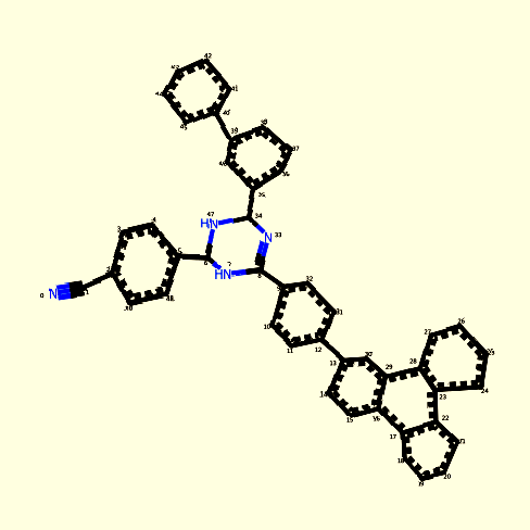 N#Cc1ccc(C2NC(c3ccc(-c4ccc5c6ccccc6c6ccccc6c5c4)cc3)=NC(c3cccc(-c4ccccc4)c3)N2)cc1